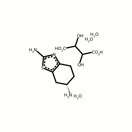 Nc1nc2c(s1)C[C@@H](N)CC2.O.O.O.O=C(O)C(O)C(O)C(=O)O